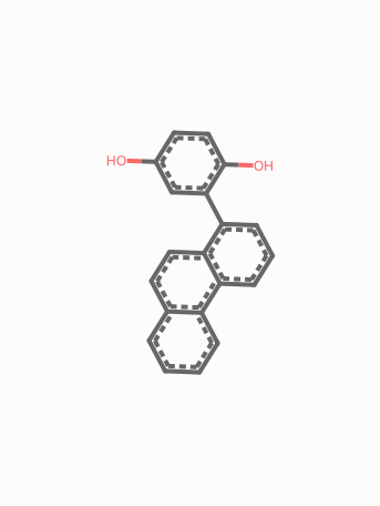 Oc1ccc(O)c(-c2cccc3c2ccc2ccccc23)c1